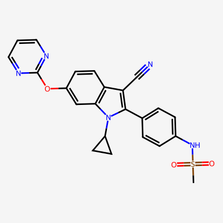 CS(=O)(=O)Nc1ccc(-c2c(C#N)c3ccc(Oc4ncccn4)cc3n2C2CC2)cc1